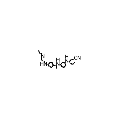 C=C/C=N\C=C/CNc1ccc(C(=C)Nc2cccc(NC(/C=C\C)=C/CC#N)c2)cc1